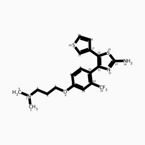 CN(C)CCCOc1ccc(-c2nc(N)sc2-c2ccsc2)c(C(F)(F)F)c1